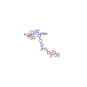 COc1cc(N2CCC(N3CCN(C(=O)C4CCN(c5ccc6c(c5)C(=O)N(C5CCC(=O)NC5=O)C6=O)C4)CC3)CC2)ccc1Nc1ncc(Cl)c(Nc2cccc3c2N(S(C)(=O)=O)CC3)n1